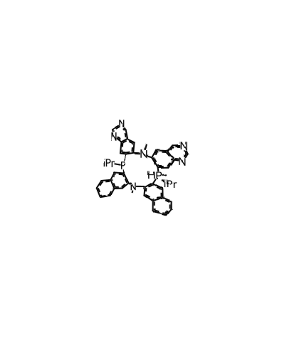 CC(C)P1c2cc3ccccc3cc2N(C)c2cc3ccccc3cc2[PH](C)(C(C)C)c2cc3ncncc3cc2N(C)c2cc3cncnc3cc21